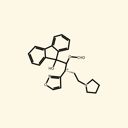 O=COC([C@H](CCN1CCCC1)c1ccon1)C1(O)c2ccccc2-c2ccccc21